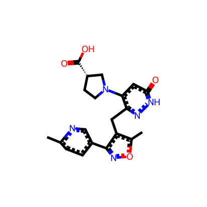 Cc1ccc(-c2noc(C)c2Cc2n[nH]c(=O)cc2N2CC[C@H](C(=O)O)C2)cn1